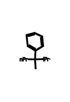 CCCC(C)([C](C)C)c1ccccc1